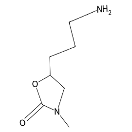 CN1CC(CCCN)OC1=O